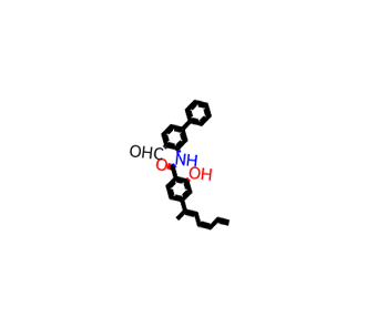 C=C/C=C\C=C(C)c1ccc(C(=O)Nc2cc(-c3ccccc3)ccc2C=O)c(O)c1